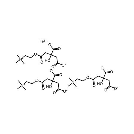 C[N+](C)(C)CCOC(=O)CC(O)(CC(=O)[O-])C(=O)[O-].C[N+](C)(C)CCOC(=O)CC(O)(CC(=O)[O-])C(=O)[O-].C[N+](C)(C)CCOC(=O)CC(O)(CC(=O)[O-])C(=O)[O-].[Fe+3]